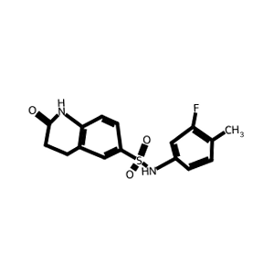 Cc1ccc(NS(=O)(=O)c2ccc3c(c2)CCC(=O)N3)cc1F